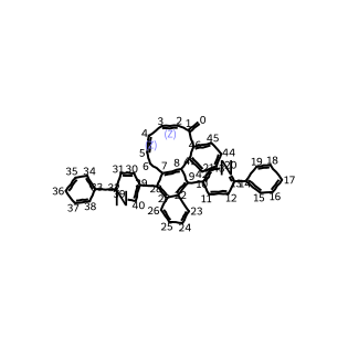 C=C1/C=C\C=C/Cc2c(c(-c3ccc(-c4ccccc4)nc3)c3ccccc3c2-c2ccc(-c3ccccc3)nc2)-c2ccccc21